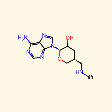 CC(C)NC[C@H]1CO[C@@H](n2cnc3c(N)ncnc32)C(O)C1